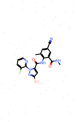 Bc1cc(C(=O)Nc2c(C)cc(C#N)cc2C(=O)NC)n(-c2ncccc2F)n1